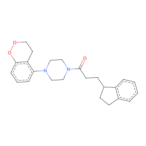 O=C(CCC1CCc2ccccc21)N1CCN(c2cccc3c2CCOO3)CC1